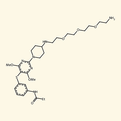 CCC(=O)Nc1cccc(Sc2c(OC)nc(N3CCC(NCCOCCOCCOCCN)CC3)nc2OC)c1